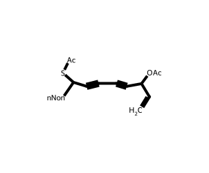 C=CC(C#CC#CC(CCCCCCCCC)SC(C)=O)OC(C)=O